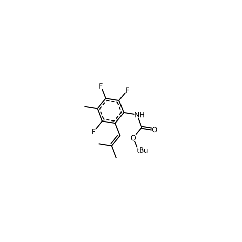 CC(C)=Cc1c(F)c(C)c(F)c(F)c1NC(=O)OC(C)(C)C